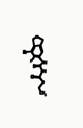 CCOC(=O)NC(=S)Nc1cc2c(c(Br)c1F)COC2